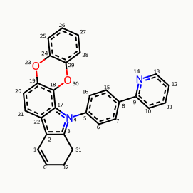 C1=Cc2c(n(-c3ccc(-c4ccccn4)cc3)c3c4c(ccc23)Oc2ccccc2O4)CC1